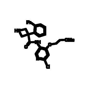 COCCOc1cc(Cl)ncc1NC(=O)C1(c2ccccc2C(C)C)CNC1